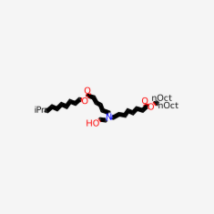 CCCCCCCCC(CCCCCCCC)OC(=O)CCCCCCCN(CCO)CCCCCC(=O)OCCCCCCCCC(C)C